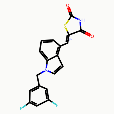 O=C1NC(=O)/C(=C/c2cccc3c2ccn3Cc2cc(F)cc(F)c2)S1